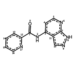 O=C(Nc1ccnc2[nH]ncc12)c1ccccn1